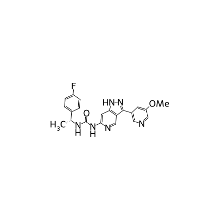 COc1cncc(-c2n[nH]c3cc(NC(=O)N[C@H](C)c4ccc(F)cc4)ncc23)c1